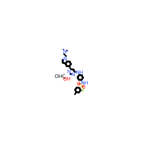 Cc1ccc(S(=O)(=O)Nc2ccc(Nc3cc(-c4ccc5c(ccn5CCN(C)C)c4)ncn3)cc2)c(F)c1.O=CO